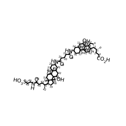 C[C@H](CCC(=O)O)[C@H]1CC[C@H]2[C@@H]3[C@@H](O)CC4C[C@H](NC(=O)CCCC(=O)N[C@H]5CC[C@]6(C)C(C5)C[C@@H](O)[C@]57CC58CC[C@@H]([C@@H](C)CCC(=O)NCCS(=O)(=O)O)[C@]8(C)CC[C@H]76)CC[C@]4(C)[C@H]3CC[C@]12C